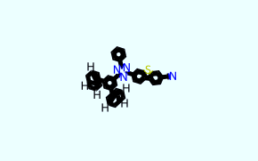 N#Cc1ccc2c(c1)sc1cc(-c3nc(-c4ccccc4)nc(-c4cc(C56C[C@H]7C[C@@H](C5)C[C@@H](C6)C7)cc(C56C[C@H]7C[C@@H](C5)C[C@@H](C6)C7)c4)n3)ccc12